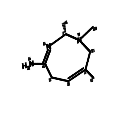 C/C1=C/C/C(N)=N\[C@H](C)N(C)C1